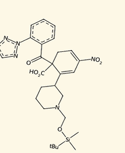 CC(C)(C)[Si](C)(C)OCN1CCCC(C2=CC([N+](=O)[O-])=CCC2(C(=O)O)C(=O)c2ccccc2-n2nccn2)C1